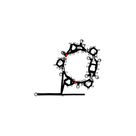 O=C1c2ccc3c4c5ccc(c24)C(=O)C1[C@@H]1CCCC[C@H]1n1c(=O)c2cc4c(=O)n(c(=O)c4cc2c1=O)[C@@H]1CCCC[C@H]1N1C(=O)c2ccc4c6c(ccc(c26)C1=O)C(=O)N(C4=O)[C@@H]1CCCC[C@H]1N(C3=O)C5=O